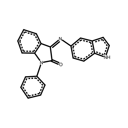 O=C1/C(=N\c2ccc3[nH]ccc3c2)c2ccccc2N1c1ccccc1